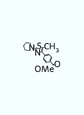 COC(=O)c1ccc(-c2nc(N3CCCCC3)sc2C)cc1